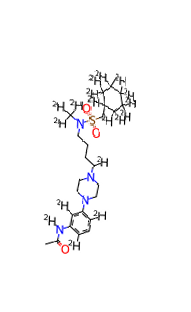 [2H]c1cc([2H])c(N([2H])C(C)=O)c([2H])c1N1CCN(C([2H])CCCN(C([2H])([2H])[2H])S(=O)(=O)CC2([2H])C([2H])([2H])C([2H])([2H])C([2H])([2H])C([2H])(C)C2([2H])[2H])CC1